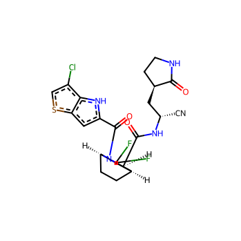 N#C[C@@H](C[C@H]1CCNC1=O)NC(=O)[C@H]1[C@H]2CC[C@H](CC2(F)F)N1C(=O)c1cc2scc(Cl)c2[nH]1